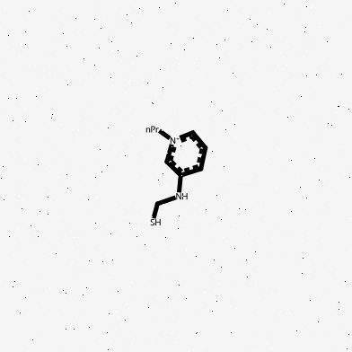 CCC[n+]1cccc(NCS)c1